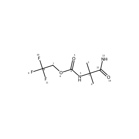 CC(C)(NC(=O)OCC(F)(F)F)C([NH])=O